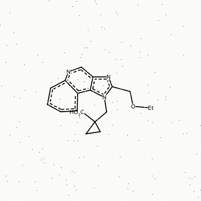 CCOCc1nc2cnc3ccccc3c2n1CC1(C(=O)O)CC1